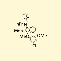 CCCN(CC1CCCO1)c1c(SC)nn2c(-c3c(OC)cc(Cl)cc3OC)cccc12